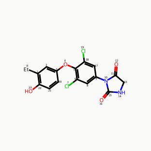 CCc1cc(Oc2c(Cl)cc(N3C(=O)CNC3=O)cc2Cl)ccc1O